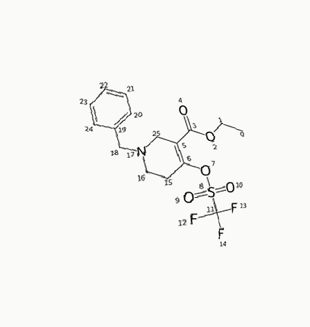 CCOC(=O)C1=C(OS(=O)(=O)C(F)(F)F)CCN(Cc2ccccc2)C1